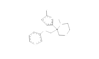 Cl.Cl.O=CN1CCNCC1(COc1cccnc1)c1ccc(Br)o1